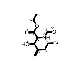 C=C(CCF)C(O)C(NC=O)C(=O)OCC